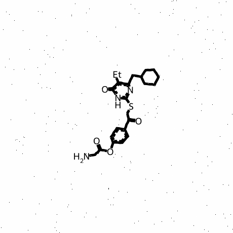 CCc1c(CC2CCCCC2)nc(SCC(=O)c2ccc(OC(=O)CN)cc2)[nH]c1=O